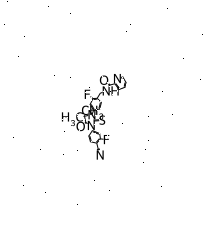 CC1(C)C(=O)N(c2ccc(C#N)c(F)c2)C(=S)N1c1ccc(CNC(=O)c2ccccn2)c(F)c1